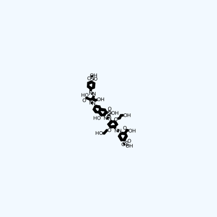 O=C(O)c1cc(S(=O)(=O)O)ccc1/N=N/c1cc(OCCO)c(/N=N/c2c(S(=O)(=O)O)cc3cc(-n4nc(C(=O)O)c(/N=N/c5ccc(S(=O)(=O)O)cc5)c4O)ccc3c2O)cc1OCCO